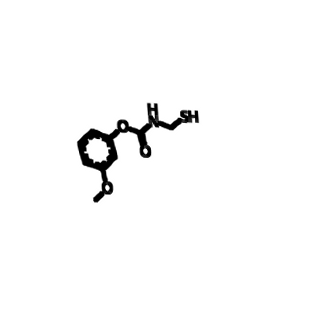 COc1cccc(OC(=O)NCS)c1